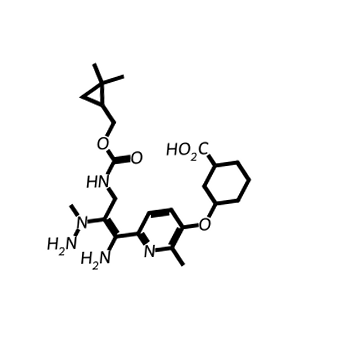 Cc1nc(/C(N)=C(\CNC(=O)OCC2CC2(C)C)N(C)N)ccc1OC1CCCC(C(=O)O)C1